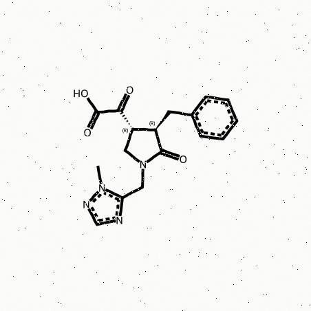 Cn1ncnc1CN1C[C@H](C(=O)C(=O)O)[C@@H](Cc2ccccc2)C1=O